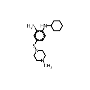 CN1CCN(Sc2ccc(NC3CCCCC3)c(N)c2)CC1